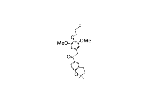 COc1cc(CC(=O)c2ccc3c(c2)CCC(C)(C)O3)cc(OC)c1OCCF